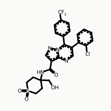 O=C(NC1(CO)CCS(=O)(=O)CC1)c1cnn2c(-c3ccc(C(F)(F)F)cc3)c(-c3ccccc3Cl)cnc12